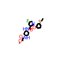 CCSc1cccc(Oc2ncc(F)cc2C(=O)NC2CCC(NC(=O)COC)CC2)c1